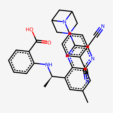 Cc1cc([C@@H](C)Nc2ccccc2C(=O)O)c2nc(N3CC4CC(C3)N4c3ccc(C#N)cc3)c(C#N)nc2c1